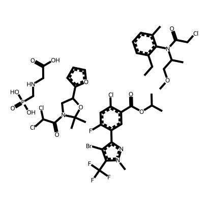 CC(C)OC(=O)c1cc(-c2nn(C)c(C(F)(F)F)c2Br)c(F)cc1Cl.CC1(C)OC(c2ccco2)CN1C(=O)C(Cl)Cl.CCc1cccc(C)c1N(C(=O)CCl)C(C)COC.O=C(O)CNCP(=O)(O)O